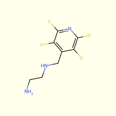 NCCNCc1c(F)c(F)nc(F)c1F